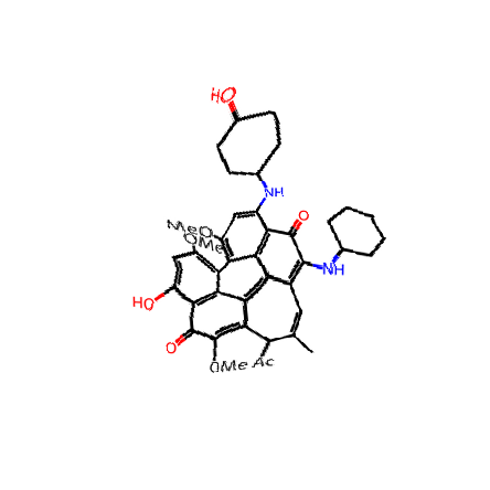 COc1c2c3c4c(c(NC5CCCCC5)c(=O)c5c(NC6CCC(O)CC6)cc(OC)c(c6c(OC)cc(O)c(c1=O)c63)c54)C=C(C)C2C(C)=O